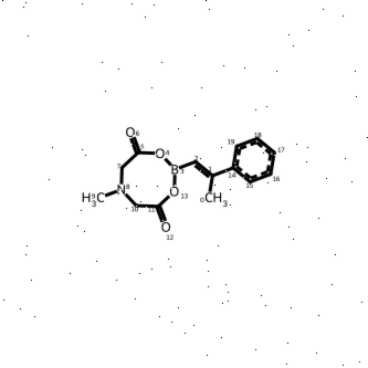 C/C(=C\B1OC(=O)CN(C)CC(=O)O1)c1ccccc1